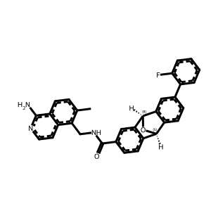 Cc1ccc2c(N)nccc2c1CNC(=O)c1ccc2c(c1)[C@@H]1O[C@H]2c2ccc(-c3ccccc3F)cc21